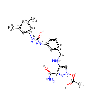 NC(=O)c1nn(OC(=O)C(F)(F)F)cc1NCc1cccc(NC(=O)Nc2cc(C(F)(F)F)cc(C(F)(F)F)c2)c1